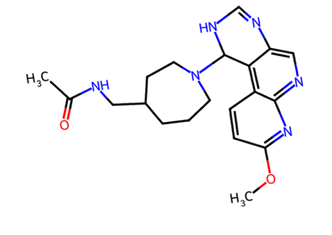 COc1ccc2c3c(cnc2n1)N=CNC3N1CCCC(CNC(C)=O)CC1